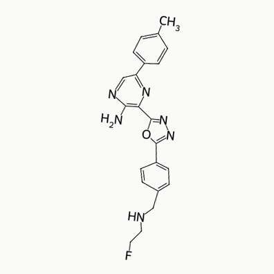 Cc1ccc(-c2cnc(N)c(-c3nnc(-c4ccc(CNCCF)cc4)o3)n2)cc1